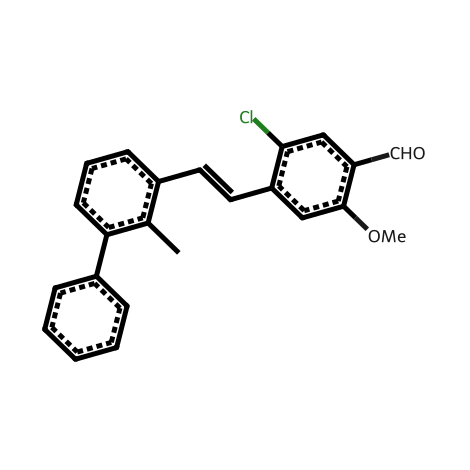 COc1cc(/C=C/c2cccc(-c3ccccc3)c2C)c(Cl)cc1C=O